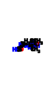 Cc1nc(NCc2ccnc(C3CNCCO3)c2)nc2c1NC(=O)C(C)N2C